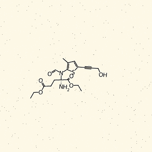 CCOC(=O)CC[C@](N)(C(=O)OCC)N(C=O)c1sc(C#CCO)cc1C